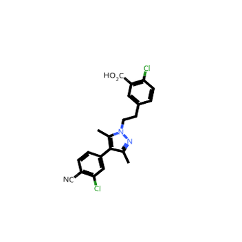 Cc1nn(CCc2ccc(Cl)c(C(=O)O)c2)c(C)c1-c1ccc(C#N)c(Cl)c1